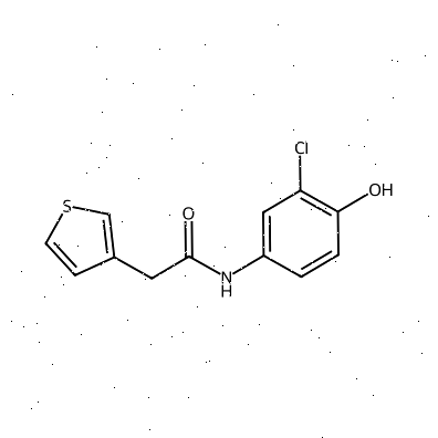 O=C(Cc1ccsc1)Nc1ccc(O)c(Cl)c1